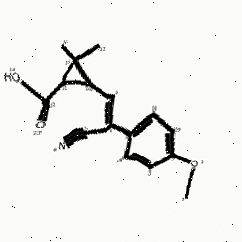 COc1ccc(C(C#N)=CC2C(C(=O)O)C2(C)C)cc1